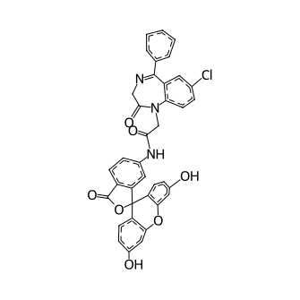 O=C(CN1C(=O)CN=C(c2ccccc2)c2cc(Cl)ccc21)Nc1ccc2c(c1)C1(OC2=O)c2ccc(O)cc2Oc2cc(O)ccc21